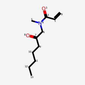 C=CC(=O)N(C)CC(=O)CCCCC